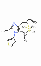 C=Cc1c(CC(C=C)[SH](C)(C)(C)C)nc(C)n1-c1ccsc1